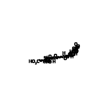 C[C@]12CC[C@H](OCC(=O)NCCCCCC(=O)NCCC(=O)N3C(=O)N[C@@H]4[C@H](CCCCC(=O)O)SC[C@@H]43)C[C@H]1CC[C@@H]1[C@@H]2C[C@@H](O)[C@]2(C)[C@@H](C3=CC(=O)OC3)CC[C@]12O